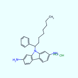 CCCCCCCC(c1ccccc1)n1c2cc(N)ccc2c2ccc(N)cc21.Cl.Cl